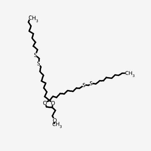 CCCCCCCCCSCSCCCCCCCCC1(CCCCCCCCSCSCCCCCCCCC)OCC(CCOC)O1